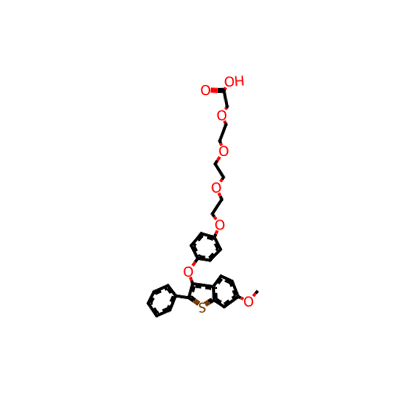 COc1ccc2c(Oc3ccc(OCCOCCOCCOCC(=O)O)cc3)c(-c3ccccc3)sc2c1